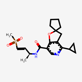 C[C@@H](/C=C/S(C)(=O)=O)NC(=O)c1cnc(C2CC2)c2c1OC1(CCCC1)C2